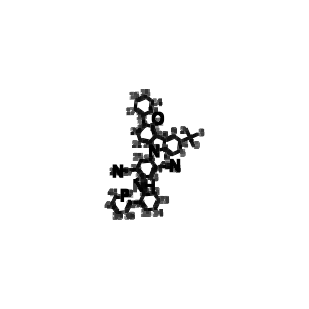 CC(C)(C)c1ccc2c(c1)c1c3oc4ccccc4c3ccc1n2-c1cc(C#N)c(Nc2ccccc2-c2ccccp2)cc1C#N